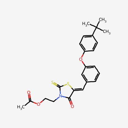 CC(=O)OCCN1C(=O)C(=Cc2cccc(Oc3ccc(C(C)(C)C)cc3)c2)SC1=S